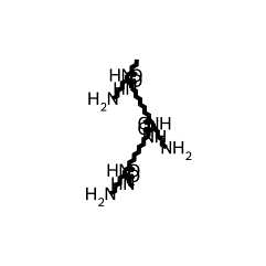 CCCC(=O)NC(CCCCN)C(=O)NCCCCCCCC(=O)NC(CCCCN)C(=O)NCCCCCCCC(=O)NC(CCCCN)C(=O)NC